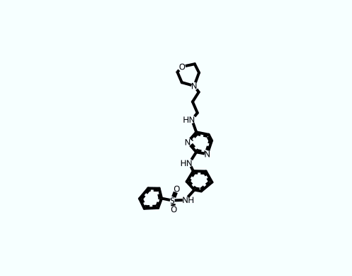 O=S(=O)(Nc1cccc(Nc2nccc(NCCCN3CCOCC3)n2)c1)c1ccccc1